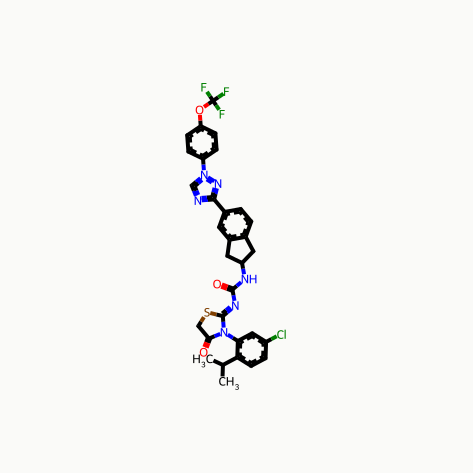 CC(C)c1ccc(Cl)cc1N1C(=O)CSC1=NC(=O)NC1Cc2ccc(-c3ncn(-c4ccc(OC(F)(F)F)cc4)n3)cc2C1